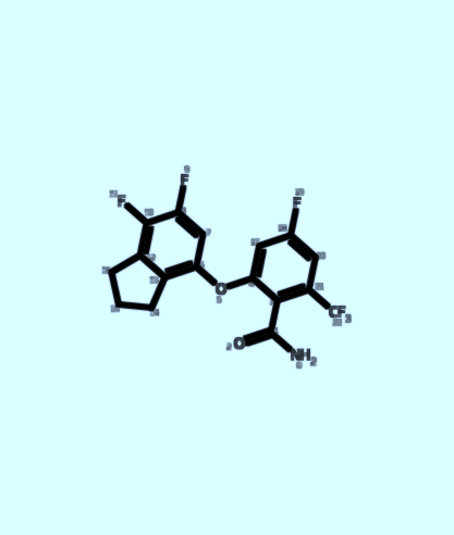 NC(=O)c1c(Oc2cc(F)c(F)c3c2CCC3)cc(F)cc1C(F)(F)F